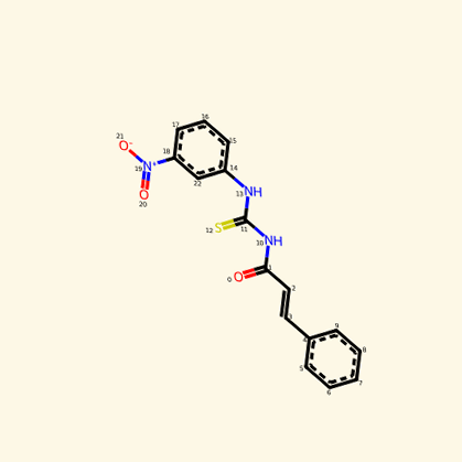 O=C(/C=C/c1ccccc1)NC(=S)Nc1cccc([N+](=O)[O-])c1